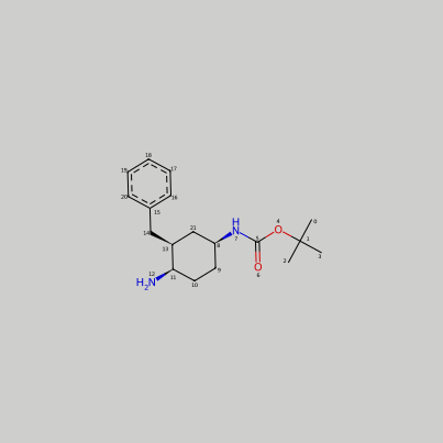 CC(C)(C)OC(=O)N[C@H]1CC[C@@H](N)[C@@H](Cc2ccccc2)C1